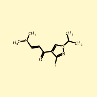 CC(C)n1cc(C(=O)/C=C/N(C)C)c(I)n1